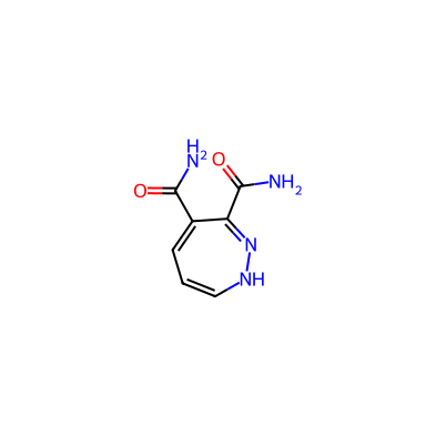 NC(=O)C1=CC=CNN=C1C(N)=O